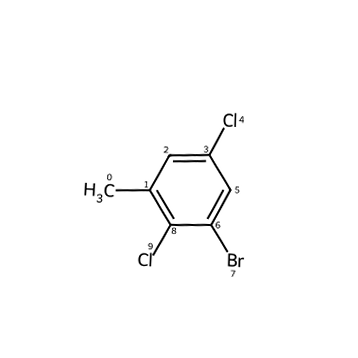 Cc1cc(Cl)cc(Br)c1Cl